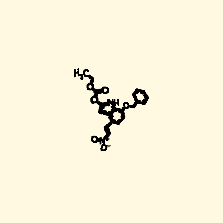 CCOC(=O)Oc1cc2c(C=C[N+](=O)[O-])ccc(OCc3ccccc3)c2[nH]1